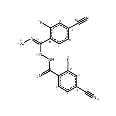 C/N=C(\NNC(=O)c1ccc(C#N)cc1F)c1ccc(C#N)cc1F